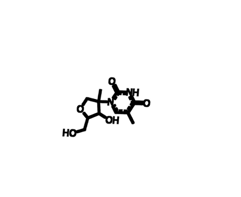 Cc1cn(C2(C)COC(CO)C2O)c(=O)[nH]c1=O